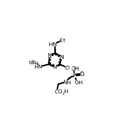 CCNc1nc(Cl)nc(NC(C)(C)C)n1.O=C(O)CNCP(=O)(O)O